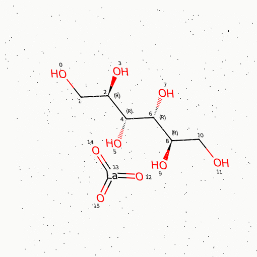 OC[C@@H](O)[C@@H](O)[C@H](O)[C@H](O)CO.[O]=[La](=[O])=[O]